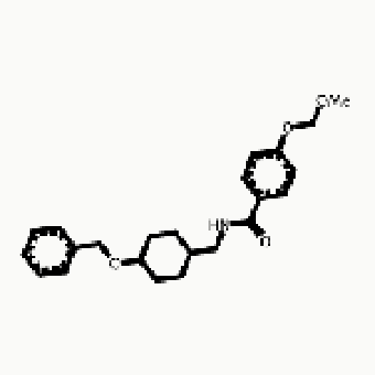 COCOc1ccc(C(=O)NCC2CCC(OCc3ccccc3)CC2)cc1